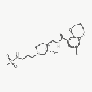 Cc1cc2c(c(C(=O)NC[C@@H]3CCN(CCCNS(C)(=O)=O)C[C@H]3O)c1)OCCCO2